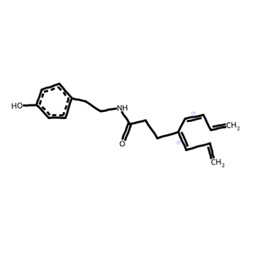 C=C/C=C\C(=C/C=C)CCC(=O)NCCc1ccc(O)cc1